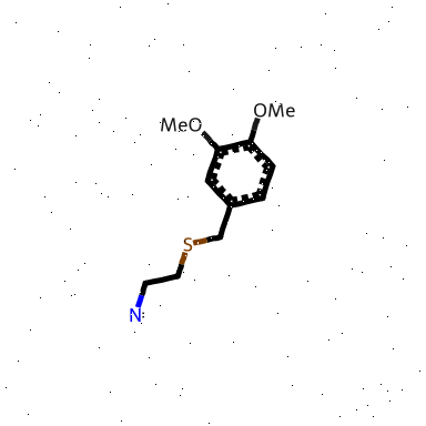 COc1ccc(CSCC[N])cc1OC